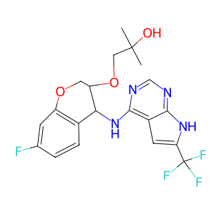 CC(C)(O)COC1COc2cc(F)ccc2C1Nc1ncnc2[nH]c(C(F)(F)F)cc12